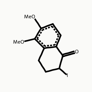 COc1ccc2c(c1OC)CCC(I)C2=O